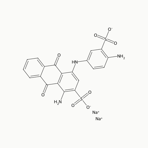 Nc1ccc(Nc2cc(S(=O)(=O)[O-])c(N)c3c2C(=O)c2ccccc2C3=O)cc1S(=O)(=O)[O-].[Na+].[Na+]